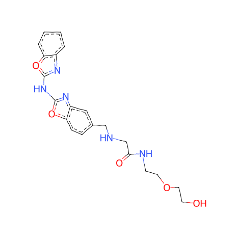 O=C(CNCc1ccc2oc(Nc3nc4ccccc4o3)nc2c1)NCCOCCO